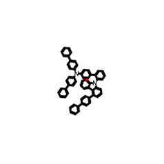 c1ccc(-c2ccc(-c3cccc4c3c3ccccc3n4-c3ccccc3-c3ccc(N(c4ccc(-c5ccccc5)cc4)c4ccc(-c5ccccc5)cc4)cc3)cc2)cc1